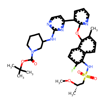 CO[C@@H](C)CS(=O)(=O)Nc1c(F)ccc2c(Oc3ncccc3-c3ccnc(NC4CCCN(C(=O)OC(C)(C)C)C4)n3)c(C)ccc12